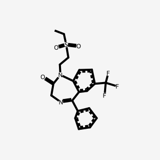 CCS(=O)(=O)CCN1C(=O)CN=C(c2ccccc2)c2cc(C(F)(F)F)ccc21